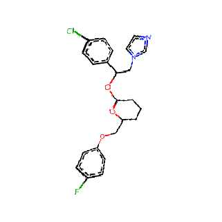 Fc1ccc(OCC2CCCC(OC(Cn3ccnc3)c3ccc(Cl)cc3)O2)cc1